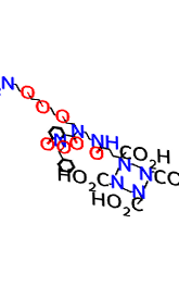 NCCOCCOCCOCCN(CCNC(=O)CCC(C(=O)O)N1CCN(CC(=O)O)CCN(CC(=O)O)CCN(CC(=O)O)CC1)C(=O)c1cccc(=O)n1OCc1ccccc1